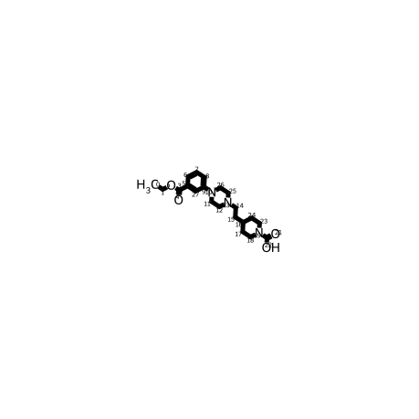 CCOC(=O)c1cccc(N2CCN(CCC3CCN(C(=O)O)CC3)CC2)c1